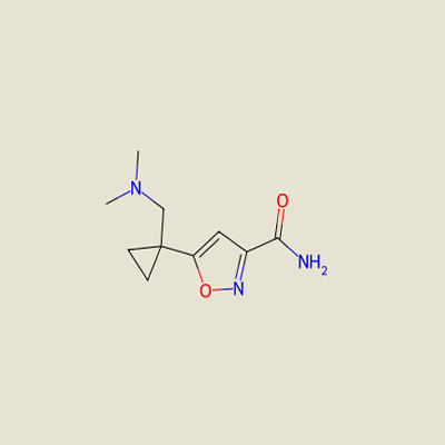 CN(C)CC1(c2cc(C(N)=O)no2)CC1